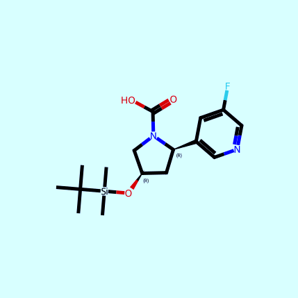 CC(C)(C)[Si](C)(C)O[C@@H]1C[C@H](c2cncc(F)c2)N(C(=O)O)C1